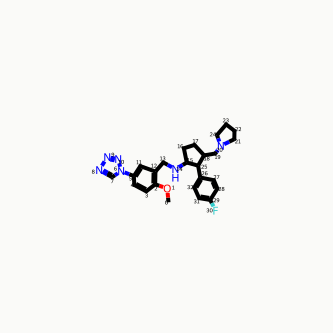 COc1ccc(-n2cnnn2)cc1CNC1CCC(CN2CCCC2)C1c1ccc(F)cc1